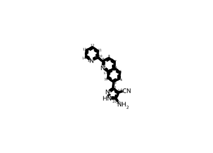 N#Cc1c(-c2ccc3ccc(-c4ccccn4)nc3c2)n[nH]c1N